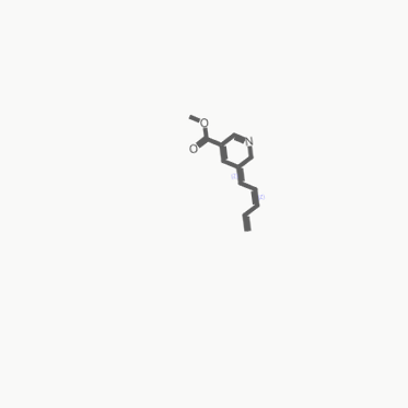 C=C/C=C\C=C1\C=C(C(=O)OC)C=NC1